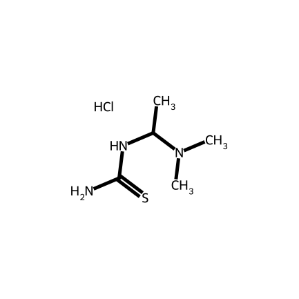 CC(NC(N)=S)N(C)C.Cl